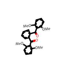 COc1cccc(OC)c1C(=O)c1[c]cccc1C(=O)c1c(OC)cccc1OC